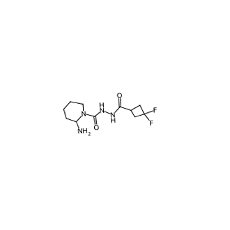 NC1CCCCN1C(=O)NNC(=O)C1CC(F)(F)C1